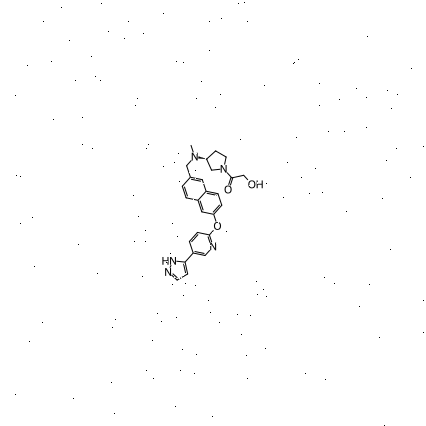 CN(Cc1ccc2cc(Oc3ccc(-c4ccn[nH]4)cn3)ccc2c1)[C@H]1CCN(C(=O)CO)C1